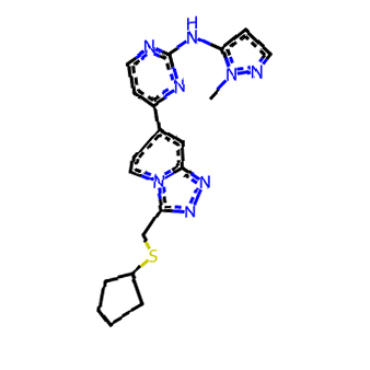 Cn1nccc1Nc1nccc(-c2ccn3c(CSC4CCCC4)nnc3c2)n1